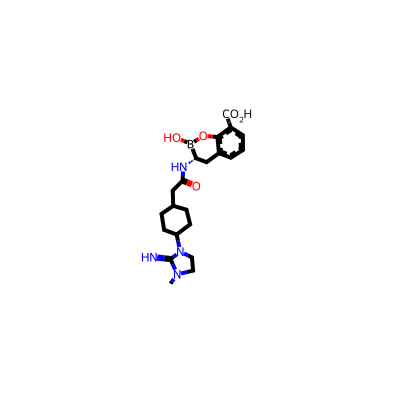 CN1CCN(C2CCC(CC(=O)N[C@H]3Cc4cccc(C(=O)O)c4OB3O)CC2)C1=N